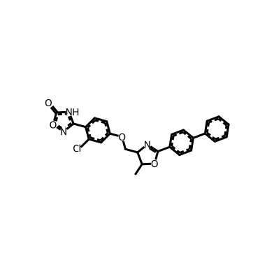 CC1OC(c2ccc(-c3ccccc3)cc2)=NC1COc1ccc(-c2noc(=O)[nH]2)c(Cl)c1